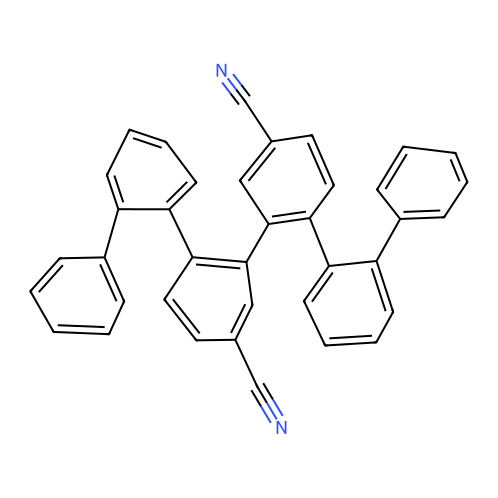 N#Cc1ccc(-c2ccccc2-c2ccccc2)c(-c2cc(C#N)ccc2-c2ccccc2-c2ccccc2)c1